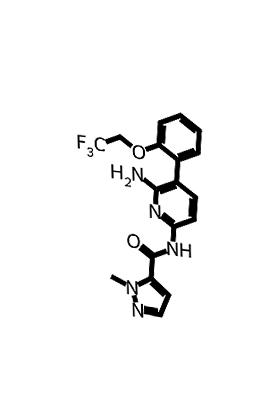 Cn1nccc1C(=O)Nc1ccc(-c2ccccc2OCC(F)(F)F)c(N)n1